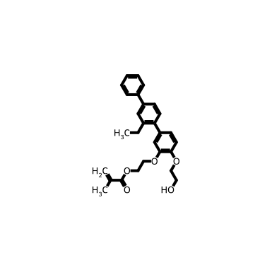 C=C(C)C(=O)OCCOc1cc(-c2ccc(-c3ccccc3)cc2CC)ccc1OCCO